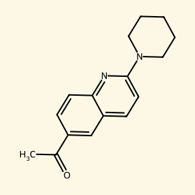 CC(=O)c1ccc2nc(N3CCCCC3)ccc2c1